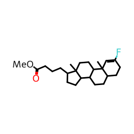 COC(=O)CCCC1CCC2C3CCC4CCC(F)=CC4(C)C3CCC12C